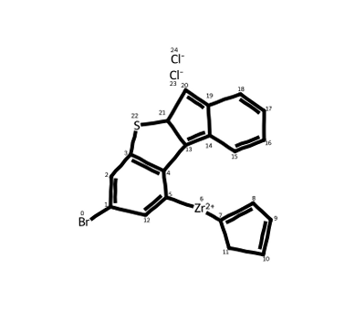 Brc1cc2c([c]([Zr+2][C]3=CC=CC3)c1)C1=c3ccccc3=CC1S2.[Cl-].[Cl-]